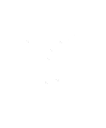 CC(C)(C)OC(=O)N1CCN(c2cc(CC#N)cc(-c3ccnc(NC4CCCCC4)c3)n2)CC1